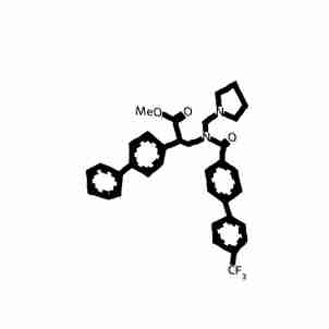 COC(=O)C(CN(CN1CCCC1)C(=O)c1ccc(-c2ccc(C(F)(F)F)cc2)cc1)c1ccc(-c2ccccc2)cc1